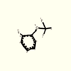 CC(F)(F)Oc1ccccc1F